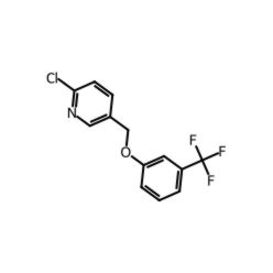 FC(F)(F)c1cccc(OCc2ccc(Cl)nc2)c1